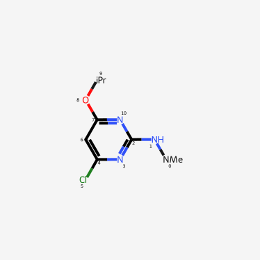 CNNc1nc(Cl)cc(OC(C)C)n1